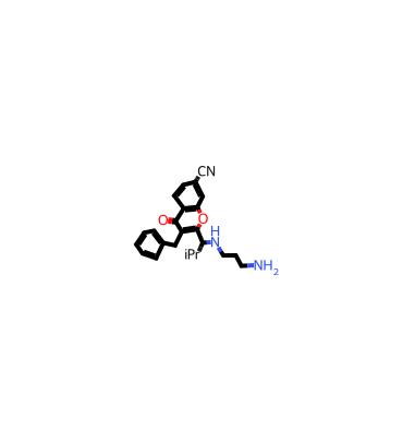 CC(C)C(NCCCN)c1oc2cc(C#N)ccc2c(=O)c1Cc1ccccc1